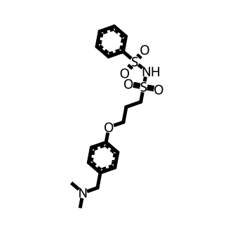 CN(C)Cc1ccc(OCCCS(=O)(=O)NS(=O)(=O)c2ccccc2)cc1